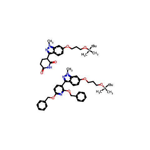 Cn1nc(-c2ccc(OCc3ccccc3)nc2OCc2ccccc2)c2ccc(OCCCO[Si](C)(C)C(C)(C)C)cc21.Cn1nc(C2CCC(=O)NC2=O)c2ccc(OCCCO[Si](C)(C)C(C)(C)C)cc21